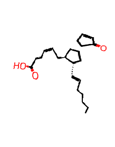 CCCCC/C=C/[C@H]1CCC[C@@H]1C/C=C\CCC(=O)O.O=C1C=CCC1